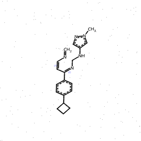 C=N/C=C\C(=N/CNc1cnn(C)c1)c1ccc(C2CCC2)cc1